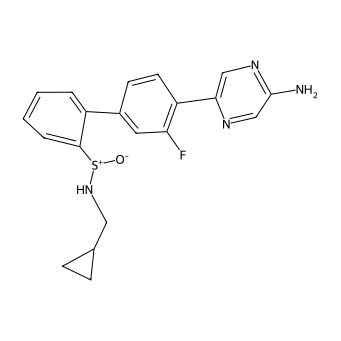 Nc1cnc(-c2ccc(-c3ccccc3[S+]([O-])NCC3CC3)cc2F)cn1